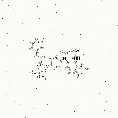 CC1(C)CN(c2ccc(N3C(=O)CC(=O)Nc4c3ccc3ccccc43)cc2)C(CCc2ccccc2)=N1